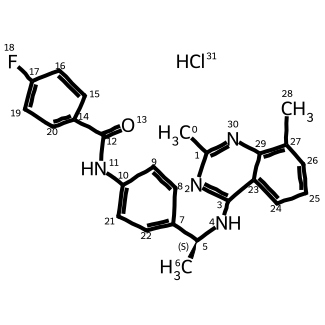 Cc1nc(N[C@@H](C)c2ccc(NC(=O)c3ccc(F)cc3)cc2)c2cccc(C)c2n1.Cl